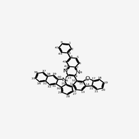 c1ccc(-c2ccc3nc(-c4cccc5c4oc4ccccc45)c(-n4c5ccccc5c5cc6ccccc6cc54)nc3c2)cc1